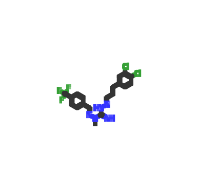 CN(N=Cc1ccc(C(F)(F)F)cc1)C(=N)NN=C/C=C/c1ccc(Cl)c(Cl)c1